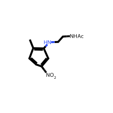 CC(=O)NCCNc1cc([N+](=O)[O-])ccc1C